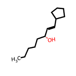 CCCCC[C@@H](O)/C=C/C1CCCC1